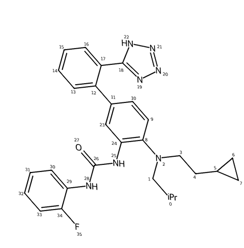 CC(C)CN(CCC1CC1)c1ccc(-c2ccccc2-c2nnn[nH]2)cc1NC(=O)Nc1ccccc1F